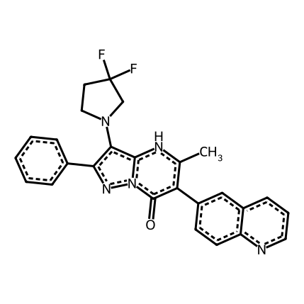 Cc1[nH]c2c(N3CCC(F)(F)C3)c(-c3ccccc3)nn2c(=O)c1-c1ccc2ncccc2c1